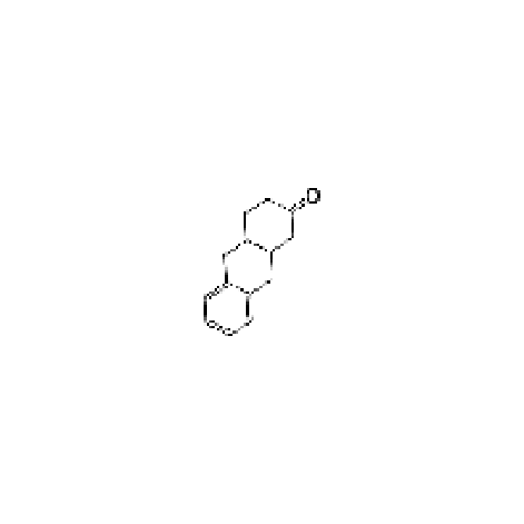 O=C1CCC2Cc3ccccc3CC2C1